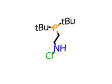 CC(C)(C)P(CCNCl)C(C)(C)C